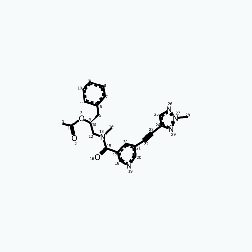 CC(=O)O[C@@H](Cc1ccccc1)CN(C)C(=O)c1cncc(C#Cc2cnn(C)n2)c1